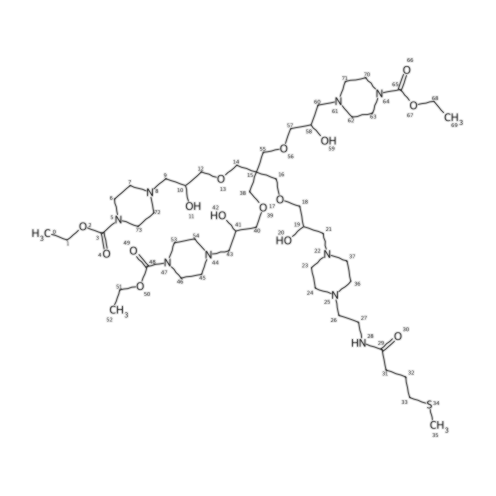 CCOC(=O)N1CCN(CC(O)COCC(COCC(O)CN2CCN(CCNC(=O)CCCSC)CC2)(COCC(O)CN2CCN(C(=O)OCC)CC2)COCC(O)CN2CCN(C(=O)OCC)CC2)CC1